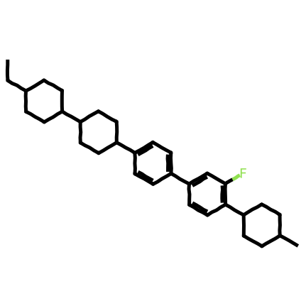 CCC1CCC(C2CCC(c3ccc(-c4ccc(C5CCC(C)CC5)c(F)c4)cc3)CC2)CC1